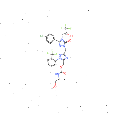 COCCNC(=O)OCc1nc(Cn2nc(-c3ccc(Cl)cc3)n(C[C@H](O)C(F)(F)F)c2=O)nn1-c1ccccc1C(F)(F)F